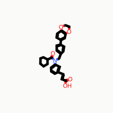 O=C(O)C=Cc1cccc(N(Cc2ccc(-c3ccc4c(c3)OCCO4)cc2)C(=O)C2CCCCC2)c1